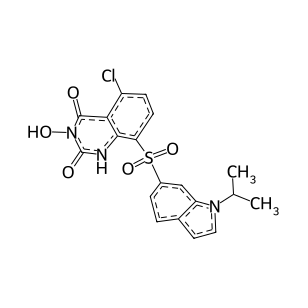 CC(C)n1ccc2ccc(S(=O)(=O)c3ccc(Cl)c4c(=O)n(O)c(=O)[nH]c34)cc21